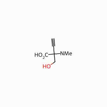 C#CC(CO)(NC)C(=O)O